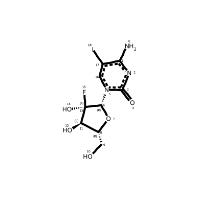 Nc1nc(=O)n([C@@H]2O[C@H](CO)[C@@H](O)[C@@]2(O)F)cc1I